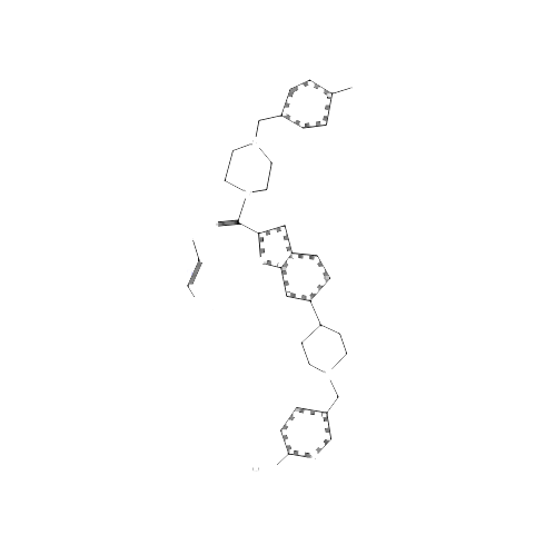 COc1ccc(CN2CCC(c3ccc4cc(C(=O)N5CCN(Cc6ccc(C(F)(F)F)cc6)CC5)[nH]c4c3)CC2)cn1.O=C(O)/C=C/C(=O)O